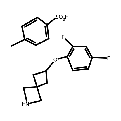 Cc1ccc(S(=O)(=O)O)cc1.Fc1ccc(OC2CC3(CNC3)C2)c(F)c1